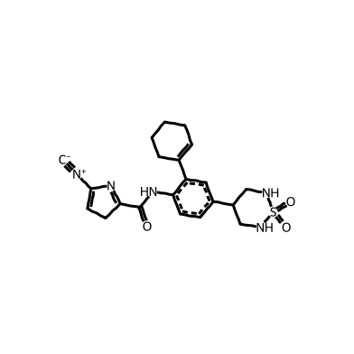 [C-]#[N+]C1=CCC(C(=O)Nc2ccc(C3CNS(=O)(=O)NC3)cc2C2=CCCCC2)=N1